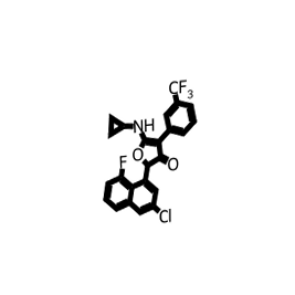 O=C1C(c2cccc(C(F)(F)F)c2)=C(NC2CC2)OC1c1cc(Cl)cc2cccc(F)c12